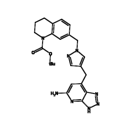 CC(C)(C)OC(=O)N1CCCc2ccc(Cn3cc(Cc4cc(N)nc5[nH]nnc45)cn3)cc21